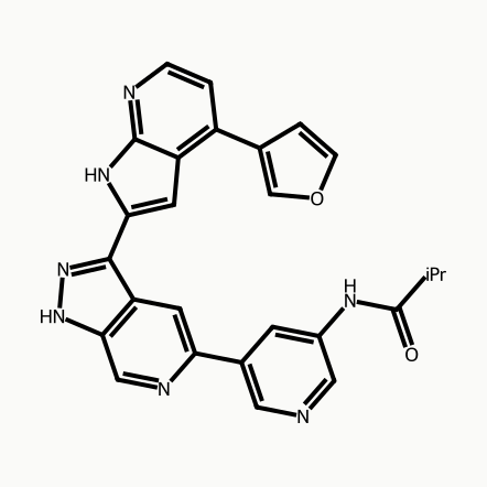 CC(C)C(=O)Nc1cncc(-c2cc3c(-c4cc5c(-c6ccoc6)ccnc5[nH]4)n[nH]c3cn2)c1